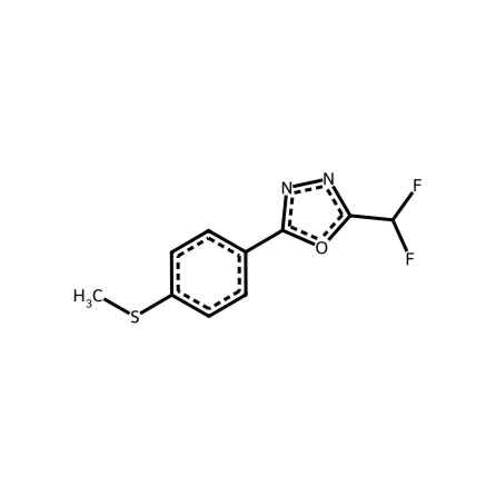 CSc1ccc(-c2nnc(C(F)F)o2)cc1